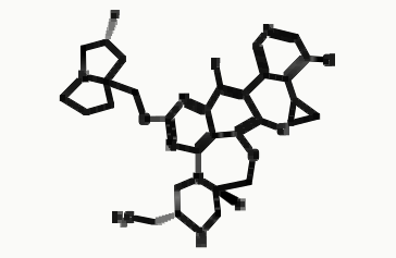 CC[C@@H]1CN2c3nc(OCC45CCCN4C[C@H](F)C5)nc4c(F)c(-c5cncc(Cl)c5C5CC5)c(Cl)c(c34)OC[C@@H]2CN1